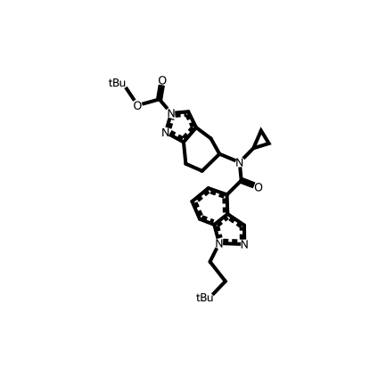 CC(C)(C)CCn1ncc2c(C(=O)N(C3CC3)C3CCc4nn(C(=O)OC(C)(C)C)cc4C3)cccc21